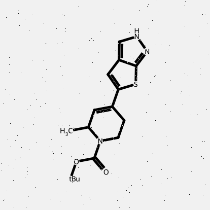 CC1C=C(c2cc3c[nH]nc3s2)CCN1C(=O)OC(C)(C)C